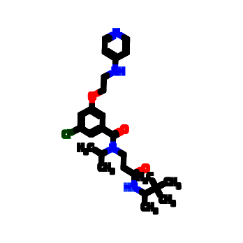 CC(C)N(CCC(=O)NC(C)C(C)(C)C)C(=O)c1cc(Cl)cc(OCCNc2ccncc2)c1